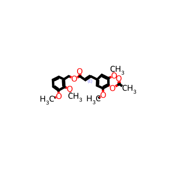 COc1cccc(COC(=O)/C=C/c2cc(OC)c(OC(C)=O)c(OC)c2)c1OC